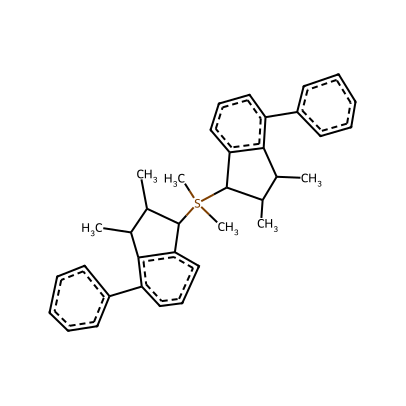 CC1c2c(-c3ccccc3)cccc2C(S(C)(C)C2c3cccc(-c4ccccc4)c3C(C)C2C)C1C